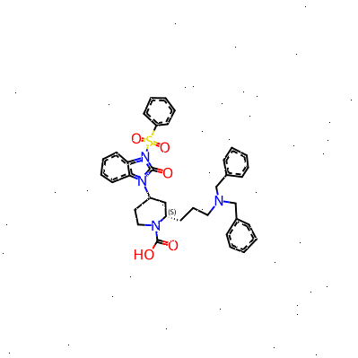 O=C(O)N1CCC(n2c(=O)n(S(=O)(=O)c3ccccc3)c3ccccc32)C[C@@H]1CCCN(Cc1ccccc1)Cc1ccccc1